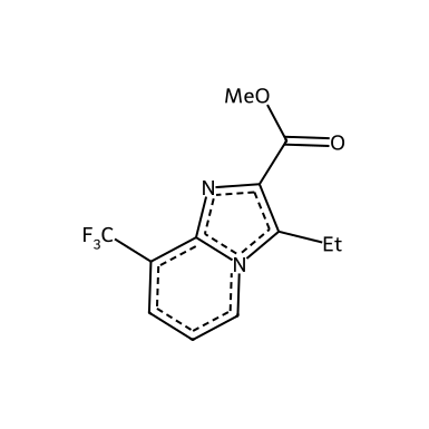 CCc1c(C(=O)OC)nc2c(C(F)(F)F)cccn12